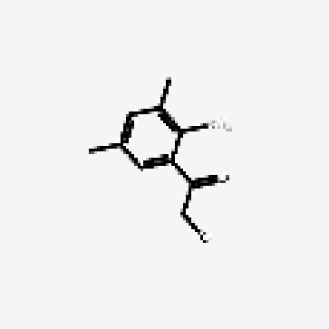 Cc1cc(C)c(N)c(C(=O)CCl)c1